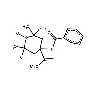 COC(=O)C1(NC(=O)c2ccccc2)CC(C)(C)N([O])C(C)(C)C1